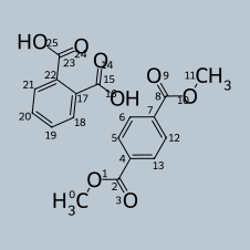 COC(=O)c1ccc(C(=O)OC)cc1.O=C(O)c1ccccc1C(=O)O